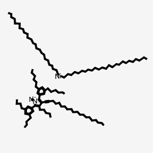 CCCCCCCCCCCCCCCCCCC#CC1=C(c2cc(CCCCCC)cc(CCCCCC)c2)[N+](=[N-])C(c2cc(CCCC)cc(CCCC)c2)=C1CCCCC.CCCCCCCCCCCCCCCCCCCCCCCC[CH2][Ni][CH2]CCCCCCCCCCCCCCCCCCCCCCCC